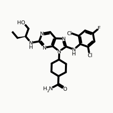 CC[C@@H](CO)Nc1ncc2nc(Nc3c(Cl)cc(F)cc3Cl)n(C3CCC(C(N)=O)CC3)c2n1